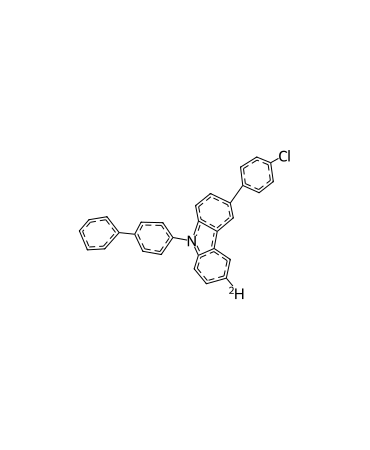 [2H]c1ccc2c(c1)c1cc(-c3ccc(Cl)cc3)ccc1n2-c1ccc(-c2ccccc2)cc1